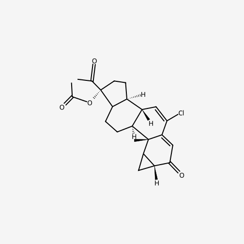 CC(=O)O[C@]1(C(C)=O)CC[C@@H]2C1CC[C@H]1[C@H]2C=C(Cl)C2=CC(=O)[C@@H]3CC3[C@@]21C